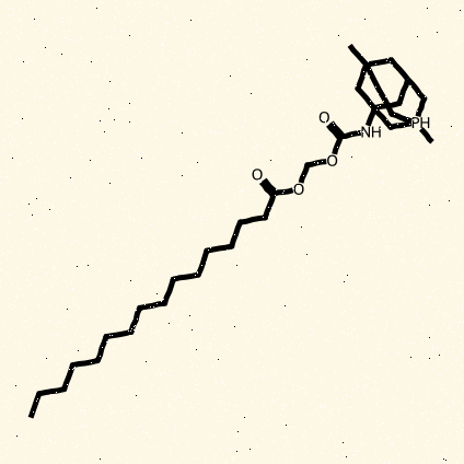 CCCCCCCCCCCCCCCC(=O)OCOC(=O)NC12CC3CC(C)(C1)C[PH](C)(C3)C2